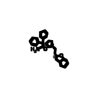 NC(=O)C(c1ccccc1)(c1ccccc1)[C@@H]1CCN(CC[C@@H]2Cc3ccccc3O2)C1